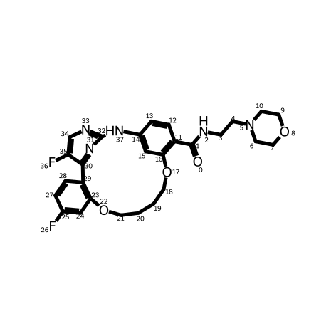 O=C(NCCN1CCOCC1)c1ccc2cc1OCCCCOc1cc(F)ccc1-c1nc(ncc1F)N2